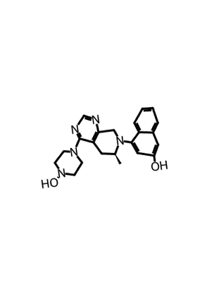 C[C@H]1Cc2c(ncnc2N2CCN(O)CC2)CN1c1cc(O)cc2ccccc12